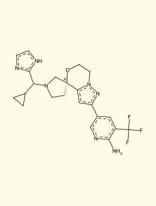 Nc1ncc(-c2cc3n(n2)CCO[C@@]32CCN(C(c3ncc[nH]3)C3CC3)C2)cc1C(F)(F)F